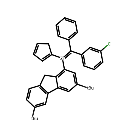 CC(C)(C)c1ccc2c(c1)-c1cc(C(C)(C)C)c[c](/[Zr]([C]3=CC=CC3)=[C](/c3ccccc3)c3cccc(Cl)c3)c1C2